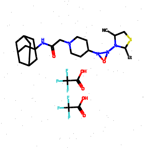 CCC1SCC(C#N)N1n1on1C1CCN(CC(=O)NC23CC4CC(CC(C4)C2)C3)CC1.O=C(O)C(F)(F)F.O=C(O)C(F)(F)F